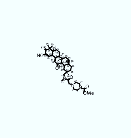 COC(=O)N1CCN(CC(=O)N(C)C[C@@]2(C)CC[C@]3(C)CC[C@@]4(C)[C@]5(C)CC[C@H]6C(C)(C)C(=O)C(C#N)=C[C@]6(C)C5=CC(=O)[C@]4(O)[C@@H]3C2)CC1